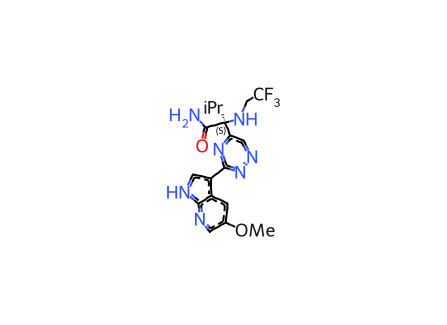 COc1cnc2[nH]cc(-c3nncc([C@](NCC(F)(F)F)(C(N)=O)C(C)C)n3)c2c1